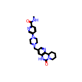 CNC(=O)c1ccc(N2CCN(Cc3cnc4c(c3)NC(=O)N3CCCCC43)CC2)cn1